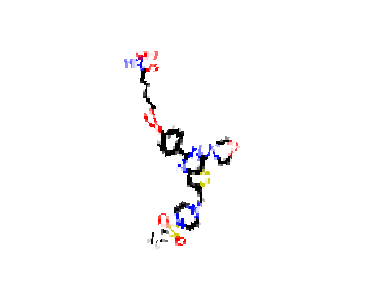 CS(=O)(=O)N1CCN(Cc2cc3nc(-c4ccc(OCCCCC(=O)NO)cc4)nc(N4CCOCC4)c3s2)CC1